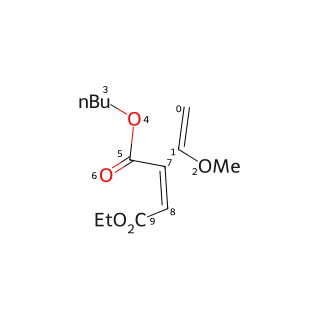 C=COC.CCCCOC(=O)/C=C\C(=O)OCC